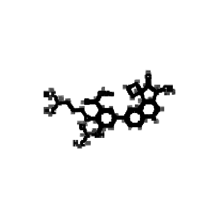 COC(=O)c1cc(-c2ccc3ncc4c(c3c2)C2(CCC2)C(=O)N4C)cc(N[S+](C)[O-])c1OCCCN(C)C